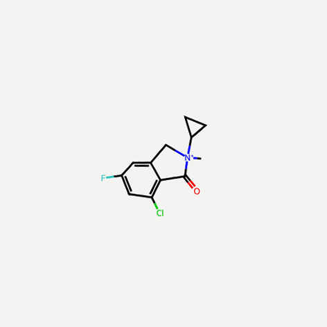 C[N+]1(C2CC2)Cc2cc(F)cc(Cl)c2C1=O